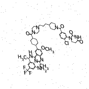 COc1cc2nc(C)nc(N[C@H](C)c3cc(N)cc(C(F)(F)F)c3)c2cc1C1CCC(C(=O)N2CCN(CCCC3CCN(C(=O)c4ccc(Cl)c(N5CCC(=O)NC5=O)c4)CC3)CC2)CC1